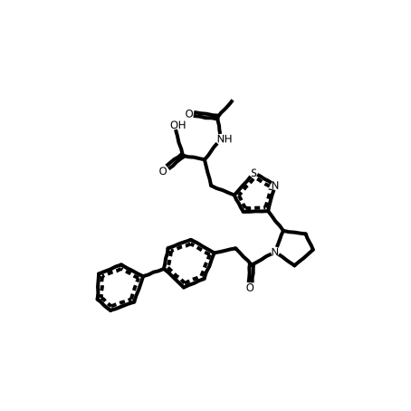 CC(=O)NC(Cc1cc(C2CCCN2C(=O)Cc2ccc(-c3ccccc3)cc2)ns1)C(=O)O